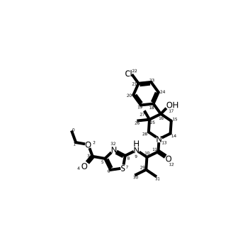 CCOC(=O)c1csc(NC(C(=O)N2CCC(O)(c3ccc(Cl)cc3)C(C)(C)C2)C(C)C)n1